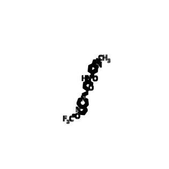 Cn1cc2ccc(C(=O)N[C@H]3CC[C@H](CCN4CCc5ccc(OCC(F)(F)F)nc5CC4)OC3)cc2n1